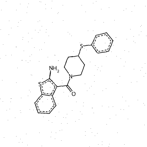 Nc1sc2ccccc2c1C(=O)N1CCC(Sc2ccccc2)CC1